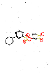 O=S1(=O)C=CC(OS(=O)(=O)c2cccc(C3CCCCC3)c2)C1